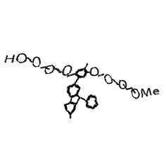 COCCOCCOCCOc1cc(-c2ccc3c(c2)C(c2ccccc2)c2cc(C)ccc2-3)c(COCCOCCOCCO)cc1C